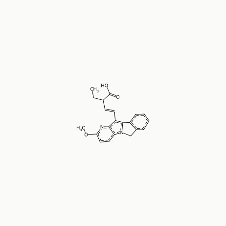 CCC(/C=C/c1c2n(c3ccc(OC)nc13)Cc1ccccc1-2)C(=O)O